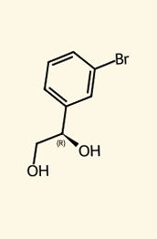 OC[C@H](O)c1cccc(Br)c1